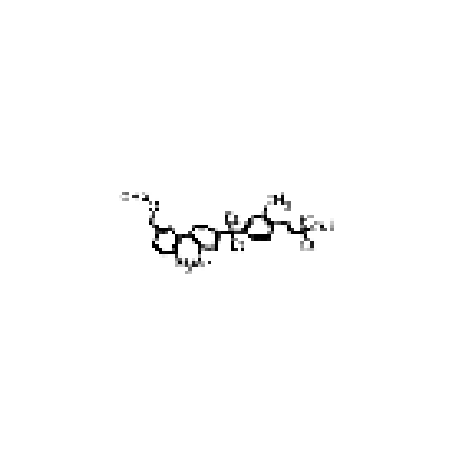 CCC(O)(/C=C/c1ccc(C(CC)(CC)c2ccc(-c3cc(COC=O)ccc3OC)c(C)c2)cc1C)CC